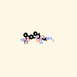 CCNC(=O)c1ccccc1-c1ccc(CN2C(=O)C(NC(=O)CC(C)(C)N)C=C(C)c3ccccc32)cc1